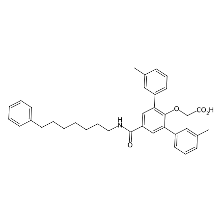 Cc1cccc(-c2cc(C(=O)NCCCCCCCc3ccccc3)cc(-c3cccc(C)c3)c2OCC(=O)O)c1